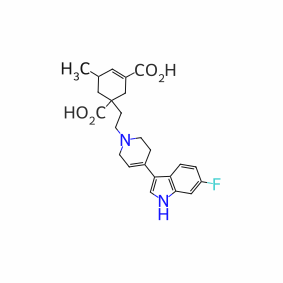 CC1C=C(C(=O)O)CC(CCN2CC=C(c3c[nH]c4cc(F)ccc34)CC2)(C(=O)O)C1